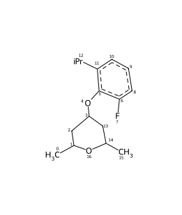 CC1CC(Oc2c(F)cccc2C(C)C)CC(C)O1